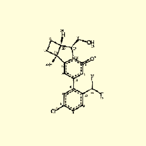 O=c1cc(-c2cc(Cl)ccc2C(F)F)cc2n1[C@H](CO)[C@H]1CC[C@@H]21